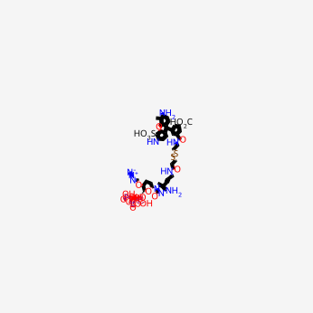 Cc1c(N)ccc2c(-c3cc(C(=O)NCCSSCCC(=O)NCC#Cc4cn([C@H]5CCC(OCN=[N+]=[N-])[C@@H](COP(=O)(O)OP(=O)(O)OP(=O)(O)O)O5)c(=O)nc4N)ccc3C(=O)O)c3ccc(=N)c(S(=O)(=O)O)c-3oc12